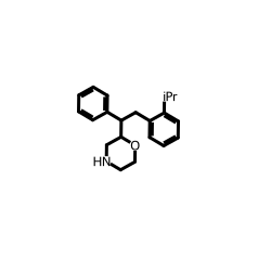 CC(C)c1ccccc1CC(c1ccccc1)C1CNCCO1